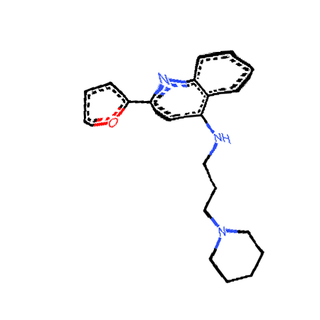 c1coc(-c2cc(NCCCN3CCCCC3)c3ccccc3n2)c1